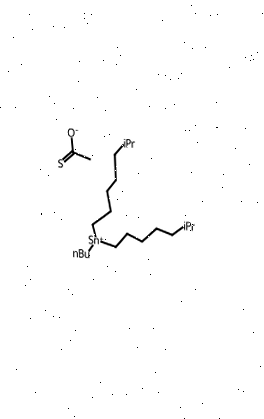 CC([O-])=S.CCC[CH2][Sn+]([CH2]CCCCC(C)C)[CH2]CCCCC(C)C